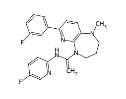 C=C(Nc1ccc(F)cn1)N1CCCN(C)c2ccc(-c3cccc(F)c3)nc21